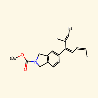 C\C=C/C=C(\C(C)=C\CC)c1ccc2c(c1)CN(C(=O)OC(C)(C)C)C2